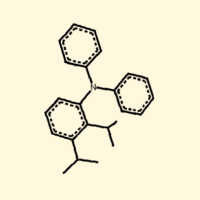 CC(C)c1cccc(N(c2ccccc2)c2ccccc2)c1C(C)C